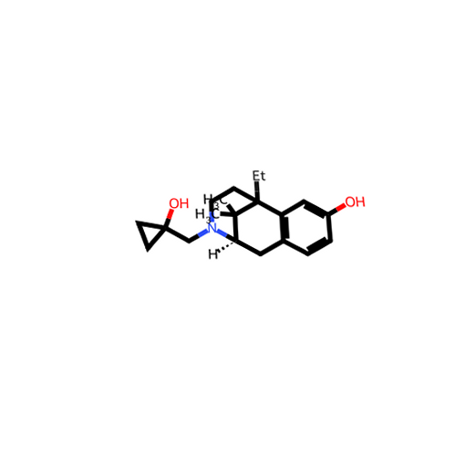 CCC12CCN(CC3(O)CC3)[C@H](Cc3ccc(O)cc31)C2(C)C